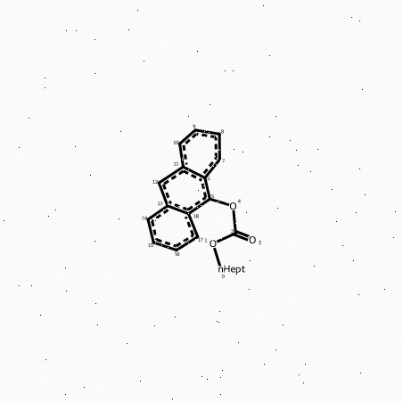 CCCCCCCOC(=O)Oc1c2ccccc2cc2ccccc12